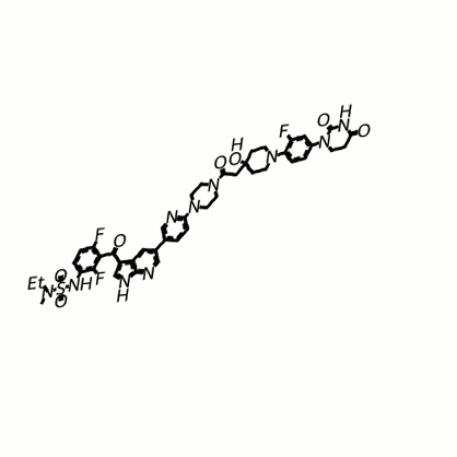 CCN(C)S(=O)(=O)Nc1ccc(F)c(C(=O)c2c[nH]c3ncc(-c4ccc(N5CCN(C(=O)CC6(O)CCN(c7ccc(N8CCC(=O)NC8=O)cc7F)CC6)CC5)nc4)cc23)c1F